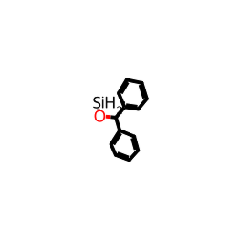 [SiH2]OC(c1ccccc1)c1ccccc1